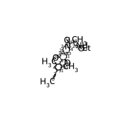 CC#Cc1cc(C)c(C2C(=O)CC3(CCN(C(=O)C(C)CNOCC)CC3)CC2=O)c(C)c1